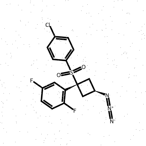 [N-]=[N+]=N[C@H]1C[C@](c2cc(F)ccc2F)(S(=O)(=O)c2ccc(Cl)cc2)C1